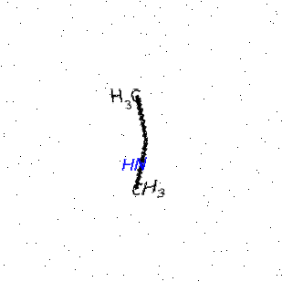 CCCCCCCCCCCCCCCCCCCCCCCCNCCCCCCCCC